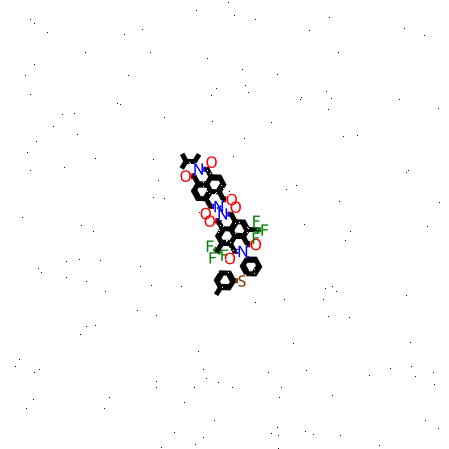 Cc1cccc(Sc2cccc(N3C(=O)c4c(C(F)(F)F)cc5c6c(cc(C(F)(F)F)c(c46)C3=O)C(=O)N(N3C(=O)c4ccc6c7c(ccc(c47)C3=O)C(=O)N(C(C)C(C)C)C6=O)C5=O)c2)c1